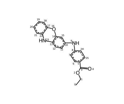 CCOC(=O)c1ccc(Nc2ccc3c(c2)Oc2ccccc2N3)cc1